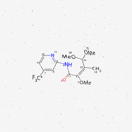 COC(C(=O)Nc1cc(C(F)(F)F)ccn1)=C(C)C(OC)OC